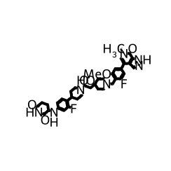 COc1cc(-c2cn(C)c(=O)c3[nH]ncc23)cc(F)c1CN1CCC(O)(CC(=O)N2CCC(c3ccc(NC4CCC(=O)NC4=O)cc3F)CC2)CC1